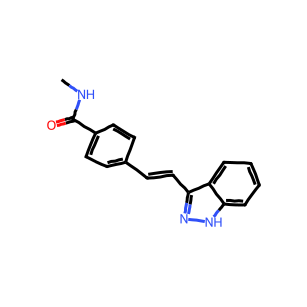 CNC(=O)c1ccc(C=Cc2n[nH]c3ccccc23)cc1